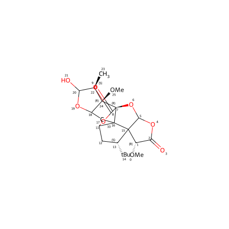 CO[C@H]1C(=O)OC2O[C@]34C(=O)OC5C[C@@H](C(C)(C)C)C21C53CC1OC(O)[C@@H](C)[C@@]14OC